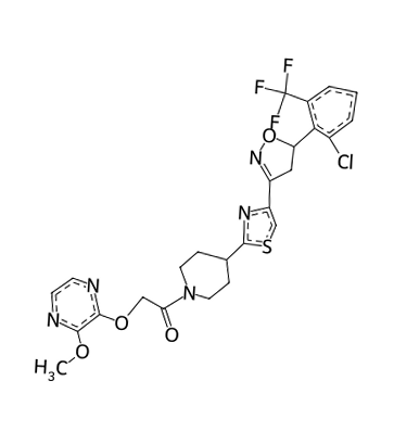 COc1nccnc1OCC(=O)N1CCC(c2nc(C3=NOC(c4c(Cl)cccc4C(F)(F)F)C3)cs2)CC1